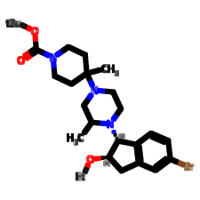 CCO[C@@H]1Cc2cc(Br)ccc2[C@H]1N1CCN(C2(C)CCN(C(=O)OC(C)(C)C)CC2)CC1C